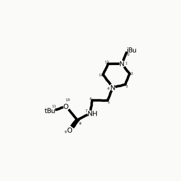 CCC(C)N1CCN(CCNC(=O)OC(C)(C)C)CC1